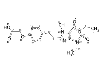 CCn1c(=O)c2c(nc(CCc3ccc(OCC(=O)O)cc3)n2C)n(CC)c1=O